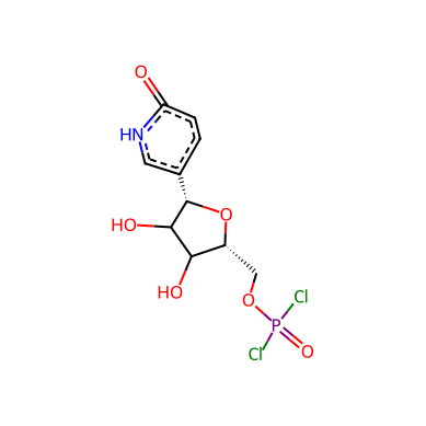 O=c1ccc([C@@H]2O[C@H](COP(=O)(Cl)Cl)C(O)C2O)c[nH]1